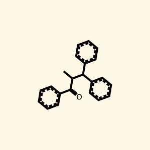 CC(C(=O)c1ccccc1)C(c1ccccc1)c1ccccc1